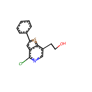 OCCc1cnc(Cl)c2cc(-c3ccccc3)sc12